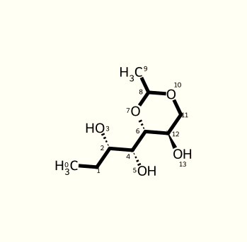 CC[C@H](O)[C@@H](O)[C@@H]1OC(C)OC[C@H]1O